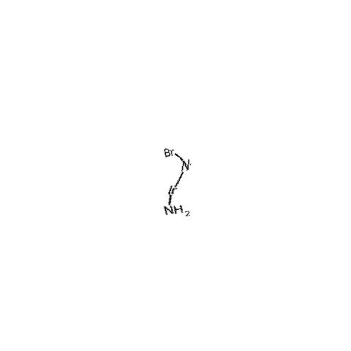 [NH2][Ir][N]Br